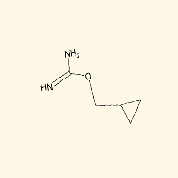 N=C(N)OCC1CC1